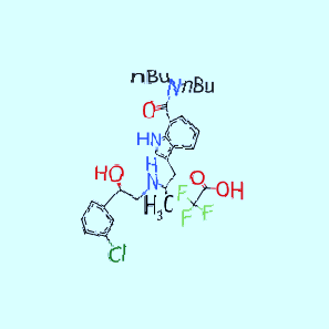 CCCCN(CCCC)C(=O)c1cccc2c(C[C@@H](C)NC[C@H](O)c3cccc(Cl)c3)c[nH]c12.O=C(O)C(F)(F)F